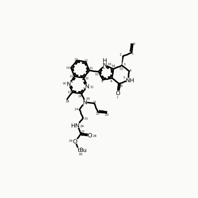 C=CC[C@H]1CNC(=O)c2cc(-c3cccc4nc(C)c(N(CC=C)CCNC(=O)OC(C)(C)C)nc34)[nH]c21